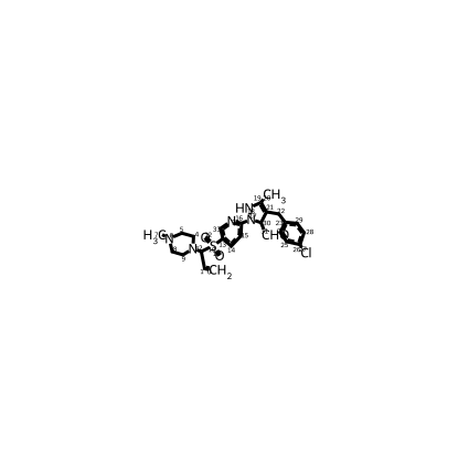 C=CC(N1CCN(C)CC1)S(=O)(=O)c1ccc(N2NC(C)=C(Cc3ccc(Cl)cc3)C2C=O)nc1